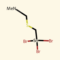 CNCS[CH2][Sn]([Br])([Br])[Br]